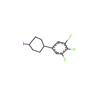 Fc1cc(C2CCC(I)CC2)cc(F)c1F